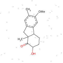 COc1cc2c(cc1C)CC1(C)C(=O)C(O)CCC21